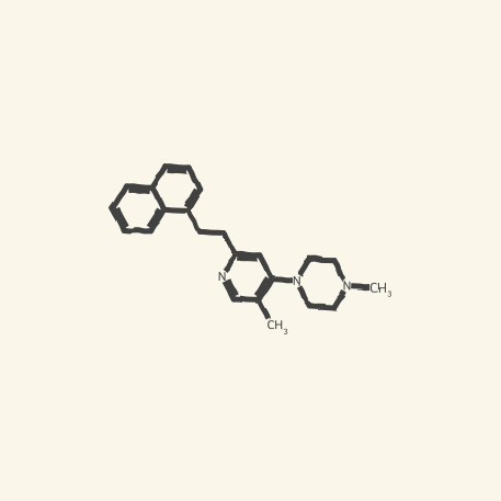 Cc1cnc(CCc2cccc3ccccc23)cc1N1CCN(C)CC1